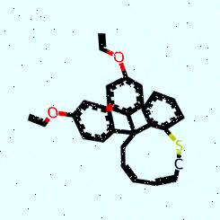 C=COc1ccc(C2(c3ccc(OC=C)cc3)C/C=C\C=C/CSc3ccccc32)cc1